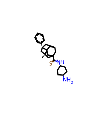 C[C@]12CC3(C(=S)N[C@H]4CC[C@H](N)CC4)CC4CC1(C3)[C@](c1ccccc1)(C4)C2